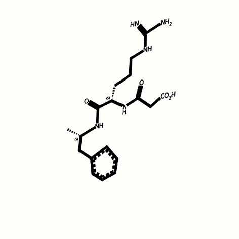 C[C@@H](Cc1ccccc1)NC(=O)[C@H](CCCNC(=N)N)NC(=O)CC(=O)O